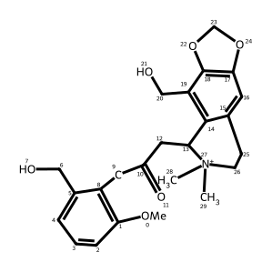 COc1cccc(CO)c1CC(=O)CC1c2c(cc3c(c2CO)OCO3)CC[N+]1(C)C